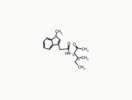 CC[C@H](C)[C@H](NC(=O)Cc1cn(C)c2ccccc12)C(C)=O